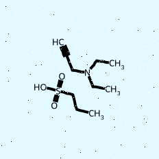 C#CCN(CC)CC.CCCS(=O)(=O)O